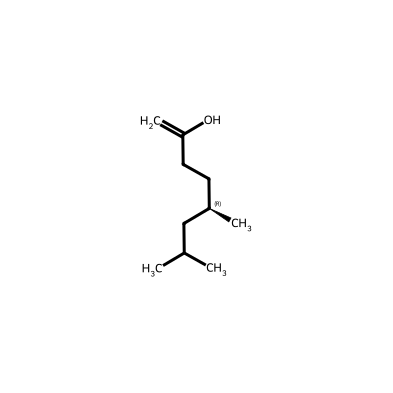 C=C(O)CC[C@@H](C)CC(C)C